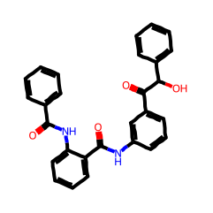 O=C(Nc1ccccc1C(=O)Nc1cccc(C(=O)C(O)c2ccccc2)c1)c1ccccc1